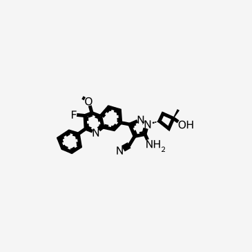 COc1c(F)c(-c2ccccc2)nc2cc(-c3nn([C@H]4C[C@@](C)(O)C4)c(N)c3C#N)ccc12